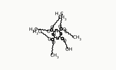 CCCCCCCCCCOc1cc(OCCCCCCCCCC)cc(C2=C3C=CC(=N3)C(c3cc(OCCCCCCCCCC)cc(OCCCCCCCCCC)c3)=C3C=CC(=N3)C(c3cc(OCCCCCCCCCC)cc(OCCCCCCCCCC)c3)=C3C=CC(=N3)C(c3ccc(OCCCCCCO)cc3)=C3C=CC2=N3)c1